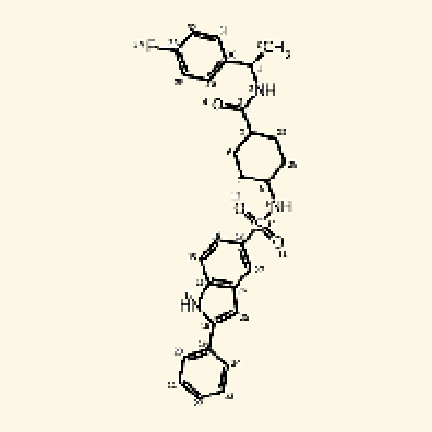 C[C@@H](NC(=O)C1CCC(NS(=O)(=O)c2ccc3[nH]c(-c4ccccc4)cc3c2)CC1)c1ccc(F)cc1